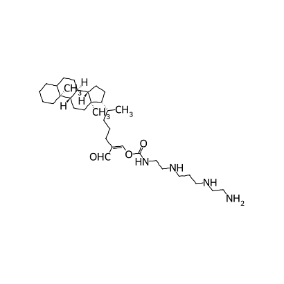 CC(CCCC(C=O)=COC(=O)NCCNCCCNCCN)[C@H]1CC[C@H]2[C@@H]3CCC4CCCC[C@]4(C)[C@H]3CC[C@]12C